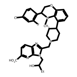 CCC(O)Cn1c(CN2CCC(c3cccc4c3N(C)C(c3ccc(Cl)cc3F)CO4)CC2)nc2ccc(C(=O)O)nc21